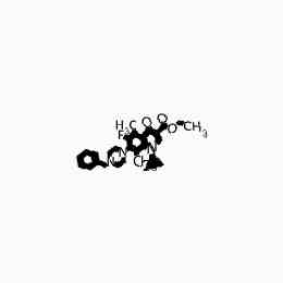 CCOC(=O)c1cn(C2CC2)c2c(C)c(N3CCN(Cc4ccccc4)CC3)c(F)c(C)c2c1=O